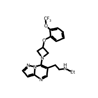 CCNCCc1cnc2ccnn2c1N1CC(Oc2ccccc2OC(F)(F)F)C1